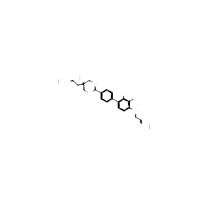 C=CCOc1ccc(-c2ccc(C3OCC(F)(CCC)CO3)cc2)c(F)c1F